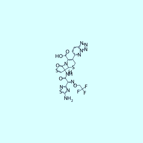 Nc1nc(C(=NOCC(F)(F)F)C(=O)NC2(C=S)C(=O)N3C(C(=O)O)=C(c4ccc5nnnn5n4)CS[C@H]32)ns1